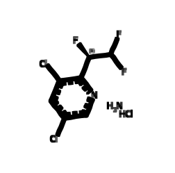 Cl.FC(F)[C@H](F)c1ncc(Cl)cc1Cl.N